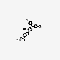 CC(C)(C)OC(=O)N1CCC(CC(=O)N2CCN(C(c3ccc(C#N)cc3)c3ccc(C#N)cc3)C[C@@H]2C(C)(C)C)CC1